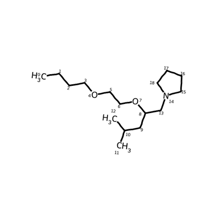 CCCCOCCOC(CC(C)C)CN1CCCC1